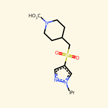 CC(C)n1cc(S(=O)(=O)CC2CCN(C(=O)O)CC2)cn1